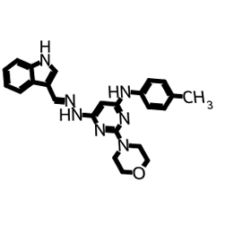 Cc1ccc(Nc2cc(N/N=C/c3c[nH]c4ccccc34)nc(N3CCOCC3)n2)cc1